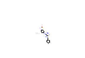 COc1cc2[nH]c(=O)sc2cc1Nc1ncnc2sc(-c3ccccc3)nc12